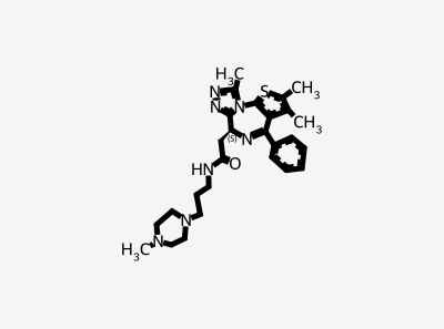 Cc1sc2c(c1C)C(c1ccccc1)=N[C@@H](CC(=O)NCCCN1CCN(C)CC1)c1nnc(C)n1-2